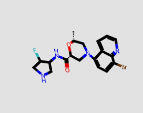 C[C@@H]1CN(c2ccc(Br)c3ncccc23)C[C@H](C(=O)NC2CNCC2F)O1